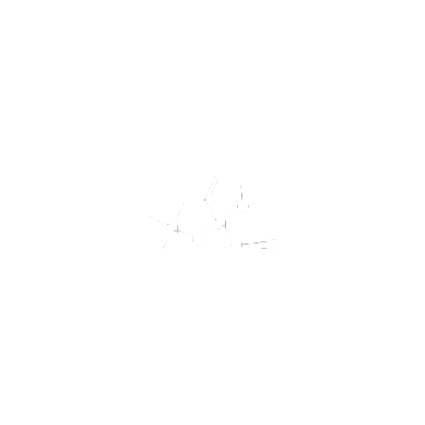 C=C[Si](OCC)(OCC)O[Si](C)(C)C